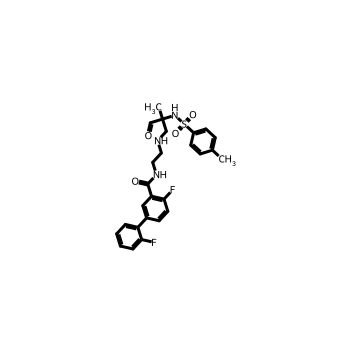 Cc1ccc(S(=O)(=O)NC(C)(C=O)CNCCNC(=O)c2cc(-c3ccccc3F)ccc2F)cc1